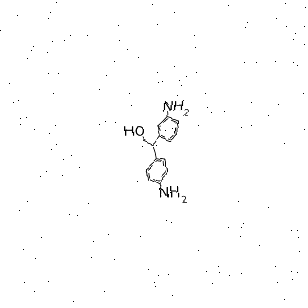 Nc1ccc(C(CO)c2cccc(N)c2)cc1